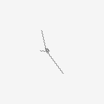 CCCCCCCCCCCCCCCCCC[n+]1ccn(CCCCCCCCCCCCC)c1CCCC